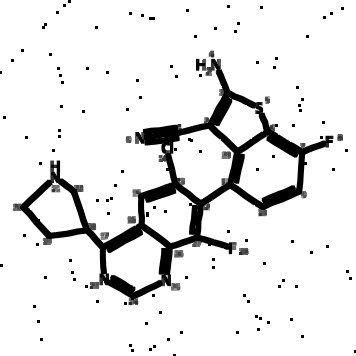 N#Cc1c(N)sc2c(F)ccc(-c3c(Cl)cc4c(C5CCNC5)ncnc4c3F)c12